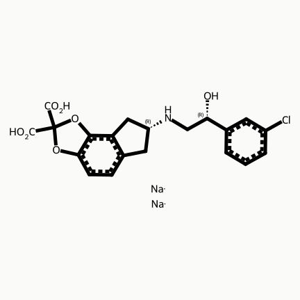 O=C(O)C1(C(=O)O)Oc2ccc3c(c2O1)C[C@H](NC[C@H](O)c1cccc(Cl)c1)C3.[Na].[Na]